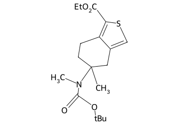 CCOC(=O)c1scc2c1CCC(C)(N(C)C(=O)OC(C)(C)C)C2